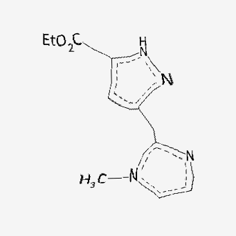 CCOC(=O)c1cc(-c2nccn2C)n[nH]1